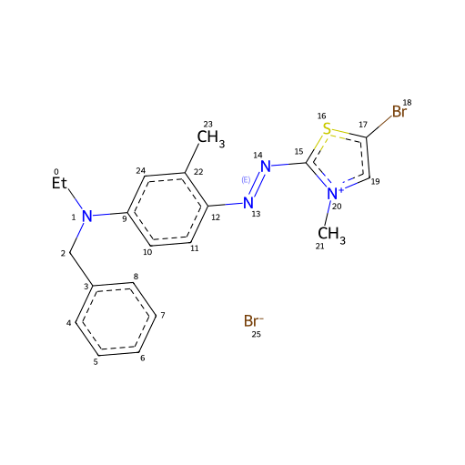 CCN(Cc1ccccc1)c1ccc(/N=N/c2sc(Br)c[n+]2C)c(C)c1.[Br-]